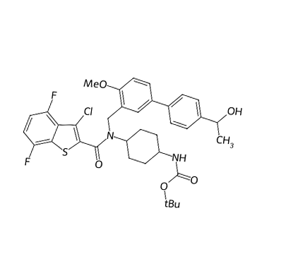 COc1ccc(-c2ccc(C(C)O)cc2)cc1CN(C(=O)c1sc2c(F)ccc(F)c2c1Cl)C1CCC(NC(=O)OC(C)(C)C)CC1